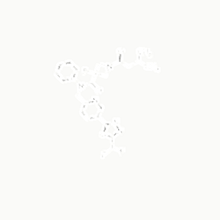 CC(C)CC(=O)N1CC(F)(C(=O)N(Cc2ccc(-c3nnc(C(F)F)o3)cn2)c2ccccc2)C1